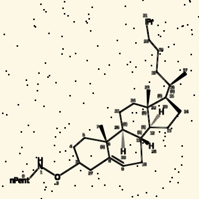 CCCCCNOC1CC[C@@]2(C)C(=CC[C@H]3[C@@H]4CC[C@H]([C@H](C)CCCC(C)C)[C@@]4(C)CC[C@@H]32)C1